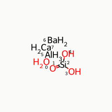 O.O=[Si](O)O.[AlH3].[BaH2].[CaH2]